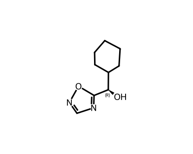 O[C@@H](c1ncno1)C1CCCCC1